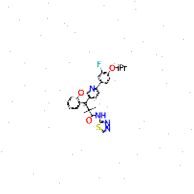 CC(C)Oc1ccc(-c2ccc3c(n2)Oc2ccccc2[C@@H]3C(C)(C)C(=O)Nc2nncs2)cc1F